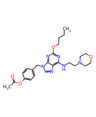 CCCCOc1nc(NCCN2CCOCC2)c2ncn(Cc3ccc(OC(C)=O)cc3)c2n1